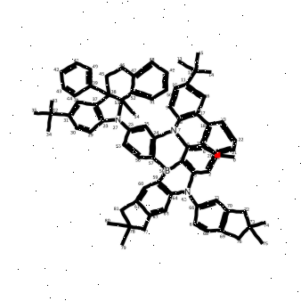 Cc1cc2c3c(c1)N(c1ccc(C(C)(C)C)cc1-c1ccccc1)c1cc(N4c5ccc(C(C)(C)C)cc5C5(c6ccccc6)CCc6ccccc6C45C)ccc1B3c1cc3c(cc1N2c1ccc2c(c1)CC(C)(C)C2)CC(C)(C)C3